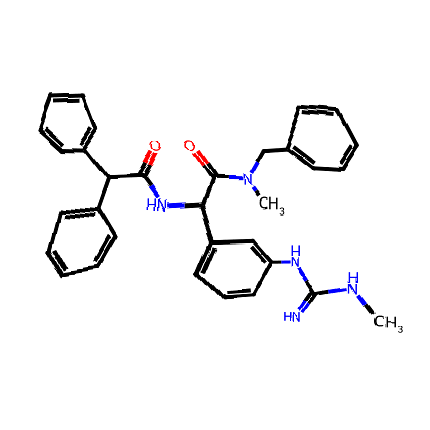 CNC(=N)Nc1cccc(C(NC(=O)C(c2ccccc2)c2ccccc2)C(=O)N(C)Cc2ccccc2)c1